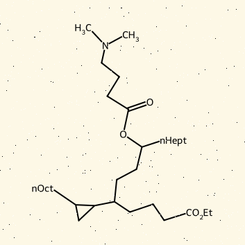 CCCCCCCCC1CC1C(CCCC(=O)OCC)CCC(CCCCCCC)OC(=O)CCCN(C)C